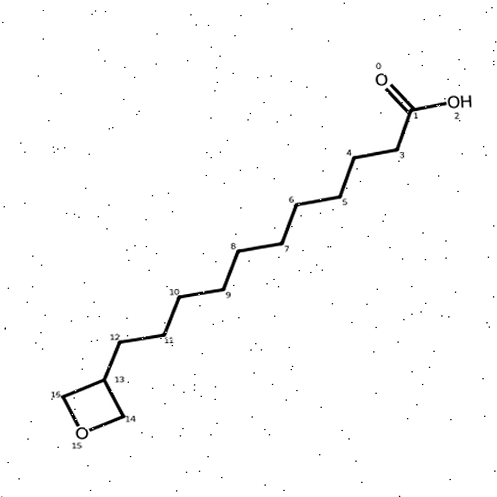 O=C(O)CCCCCCCCCCC1COC1